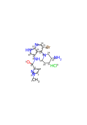 Cl.Cn1ccc(C(=O)Nc2c[nH]c3ncc(Br)c(N4CCCC(N)C4)c23)n1